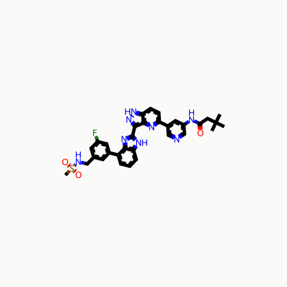 CC(C)(C)CC(=O)Nc1cncc(-c2ccc3[nH]nc(-c4nc5c(-c6cc(F)cc(CNS(C)(=O)=O)c6)cccc5[nH]4)c3n2)c1